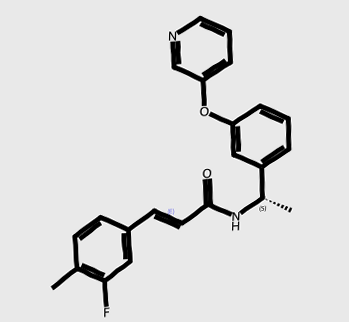 Cc1ccc(/C=C/C(=O)N[C@@H](C)c2cccc(Oc3cccnc3)c2)cc1F